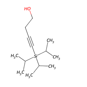 CC(C)[Si](C#CCCO)(C(C)C)C(C)C